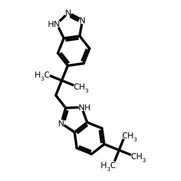 CC(C)(C)c1ccc2nc(CC(C)(C)c3ccc4nn[nH]c4c3)[nH]c2c1